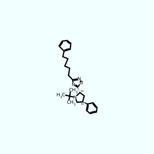 CC(C)(C)N1C[C@H](c2ccccc2)C[C@H]1c1nc(CCCCCc2ccccc2)no1